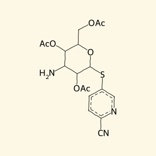 CC(=O)OCC1OC(Sc2ccc(C#N)nc2)C(OC(C)=O)C(N)C1OC(C)=O